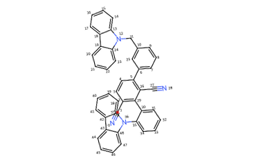 N#Cc1ccc(-c2cccc(Cn3c4ccccc4c4ccccc43)c2)c(C#N)c1-c1ccccc1-n1c2ccccc2c2ccccc21